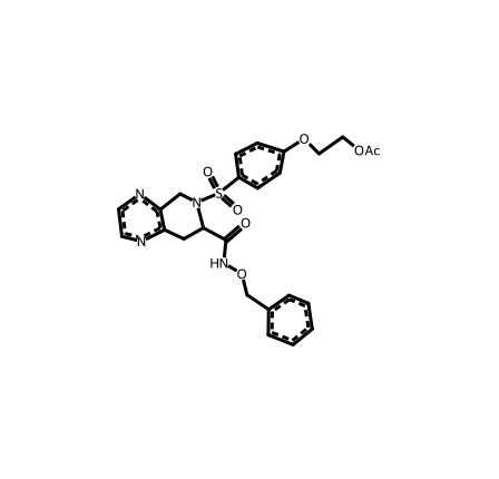 CC(=O)OCCOc1ccc(S(=O)(=O)N2Cc3nccnc3CC2C(=O)NOCc2ccccc2)cc1